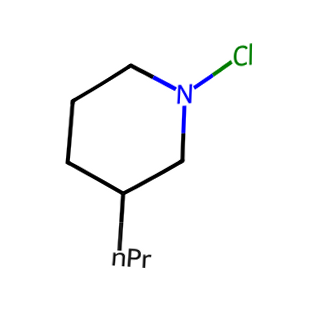 CCCC1CCCN(Cl)C1